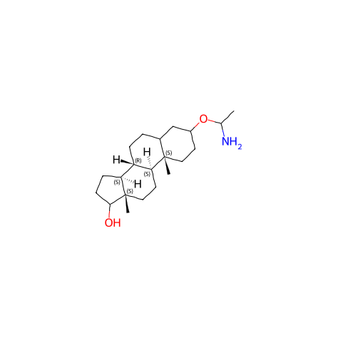 CC(N)OC1CC[C@@]2(C)C(CC[C@@H]3[C@@H]2CC[C@]2(C)C(O)CC[C@@H]32)C1